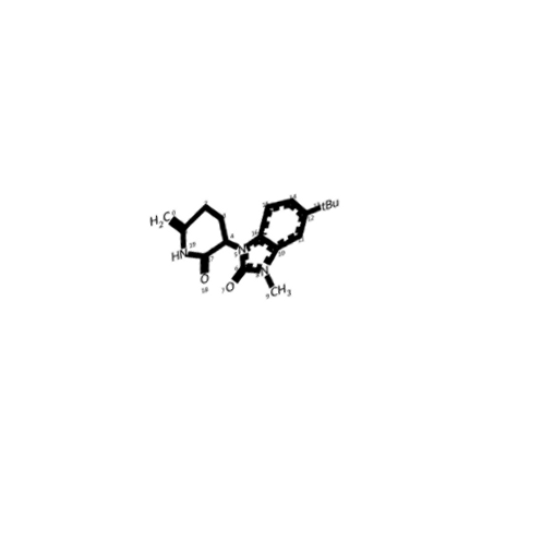 C=C1CCC(n2c(=O)n(C)c3cc(C(C)(C)C)ccc32)C(=O)N1